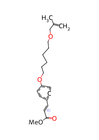 C=C(C)COCCCCCCOc1ccc(/C=C/C(=O)OC)cc1